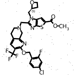 COC(=O)c1cc2c(nc(CN3CCc4cc(C(F)(F)F)c(OCc5ccc(Cl)cc5F)nc4C3)n2C[C@@H]2CCO2)s1